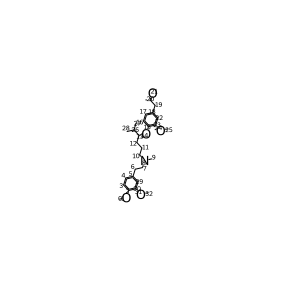 COc1ccc(CCN(C)CCCC(Oc2ccc(C[C]=O)cc2OC)C(C)C)cc1OC